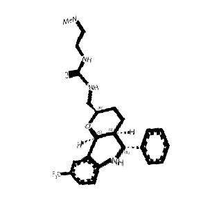 CNCCNC(=O)NC[C@H]1CC[C@@H]2[C@H](O1)c1cc(C(F)(F)F)ccc1N[C@H]2c1ccccc1